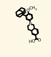 COc1ccc(N2CCC3C=C(C(=O)O)C=CC3C2)cc1C12CC3CC(CC(C3)C1)C2